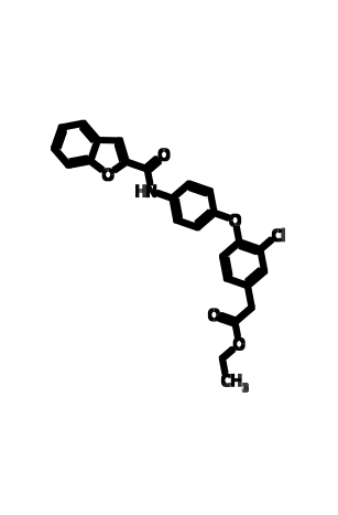 CCOC(=O)Cc1ccc(Oc2ccc(NC(=O)c3cc4ccccc4o3)cc2)c(Cl)c1